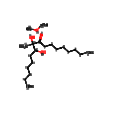 CCCCCCCCCCCCCCCCCC(=O)C(O)(C(=O)O)C(O)CCCCCCCCCCCCCCC.CCCCCCCCON=O